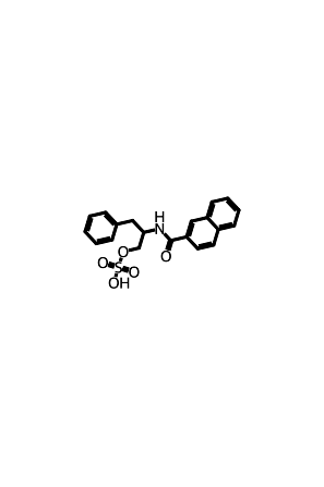 O=C(NC(COS(=O)(=O)O)Cc1ccccc1)c1ccc2ccccc2c1